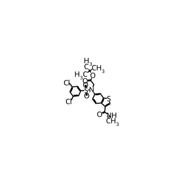 CNC(=O)c1csc2cc(N(CC(=O)OC(C)(C)C)S(=O)(=O)c3cc(Cl)cc(Cl)c3)ccc12